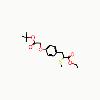 CCOC(=O)C(Cc1ccc(OCC(=O)OC(C)(C)C)cc1)SC